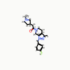 Cc1nn(Cc2ccc(F)cc2)c2c1CCN(C(=O)CC1CCN(C(C)C)C1)C2